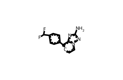 Nc1nc2c(-c3ccc(C(F)F)cc3)cccn2n1